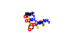 C1COCCO1.NC([O-])=S.NC([O-])=S.NC([O-])=S.NC([O-])=S.[Mo+4]